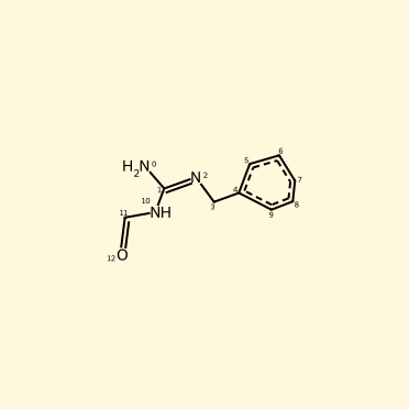 NC(=NCc1ccccc1)NC=O